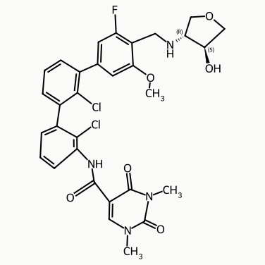 COc1cc(-c2cccc(-c3cccc(NC(=O)c4cn(C)c(=O)n(C)c4=O)c3Cl)c2Cl)cc(F)c1CN[C@@H]1COC[C@H]1O